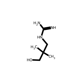 CC(C)(CO)CNC(=N)N